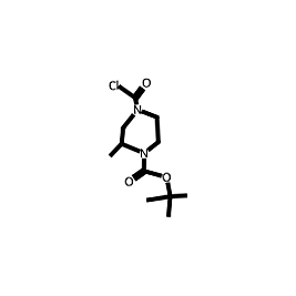 CC1CN(C(=O)Cl)CCN1C(=O)OC(C)(C)C